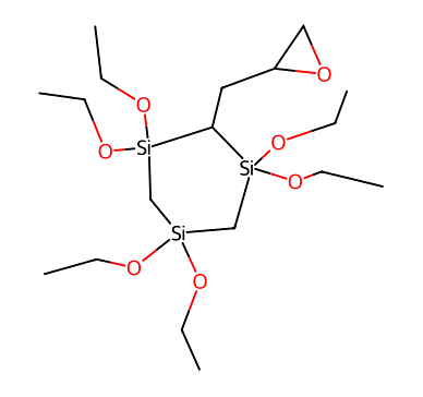 CCO[Si]1(OCC)C[Si](OCC)(OCC)C(CC2CO2)[Si](OCC)(OCC)C1